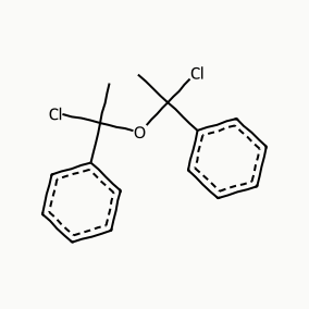 CC(Cl)(OC(C)(Cl)c1ccccc1)c1ccccc1